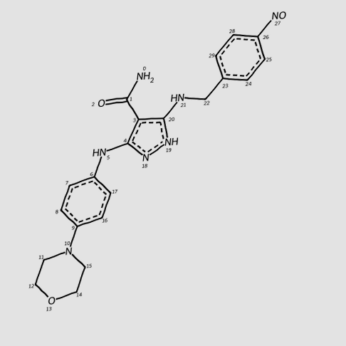 NC(=O)c1c(Nc2ccc(N3CCOCC3)cc2)n[nH]c1NCc1ccc(N=O)cc1